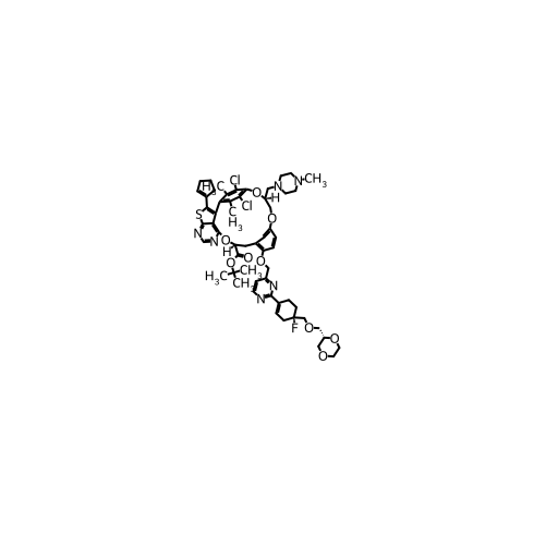 Cc1c(Cl)c2c(Cl)c(C)c1-c1c(C3=CCCC3)sc3ncnc(c13)O[C@@H](C(=O)OC(C)(C)C)Cc1cc(ccc1OCc1ccnc(C3=CC[C@@](F)(COC[C@H]4COCCO4)CC3)n1)OC[C@@H](CN1CCN(C)CC1)O2